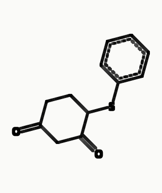 O=C1CCC(Sc2ccccc2)C(=O)C1